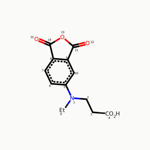 CCN(CCC(=O)O)c1ccc2c(c1)C(=O)OC2=O